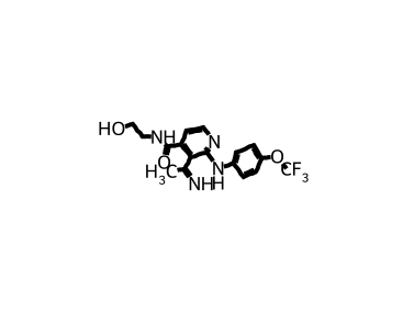 CC(=N)c1c(C(=O)NCCO)ccnc1Nc1ccc(OC(F)(F)F)cc1